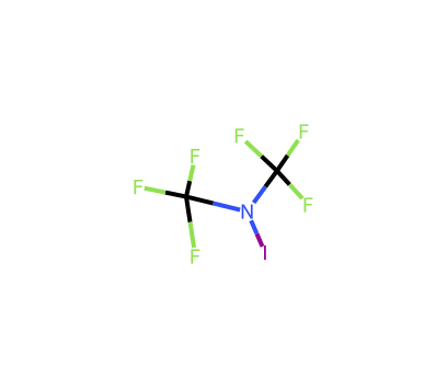 FC(F)(F)N(I)C(F)(F)F